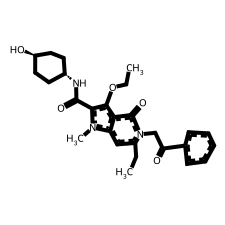 CCOc1c(C(=O)N[C@H]2CC[C@H](O)CC2)n(C)c2cc(CC)n(CC(=O)c3ccccc3)c(=O)c12